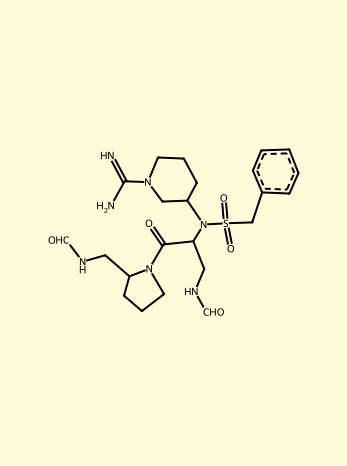 N=C(N)N1CCCC(N(C(CNC=O)C(=O)N2CCCC2CNC=O)S(=O)(=O)Cc2ccccc2)C1